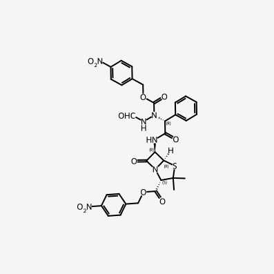 CC1(C)S[C@@H]2[C@H](NC(=O)[C@@H](c3ccccc3)N(NC=O)C(=O)OCc3ccc([N+](=O)[O-])cc3)C(=O)N2[C@H]1C(=O)OCc1ccc([N+](=O)[O-])cc1